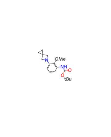 COc1c(NC(=O)OC(C)(C)C)cccc1N1CC2(CC2)C1